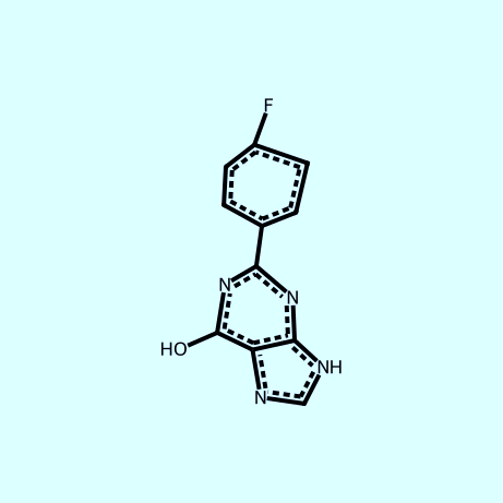 Oc1nc(-c2ccc(F)cc2)nc2[nH]cnc12